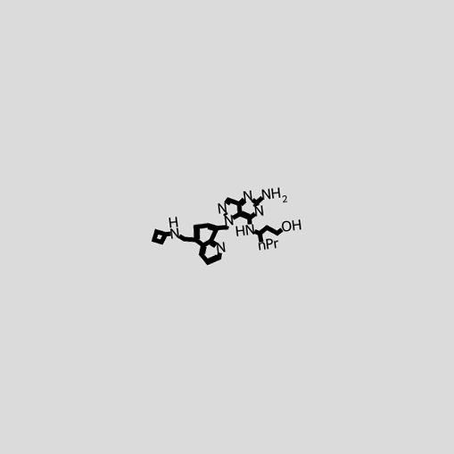 CCCC(CCO)Nc1nc(N)nc2cnn(Cc3ccc(CNC4CCC4)c4cccnc34)c12